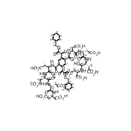 O=C(O)CC(NC(=O)c1cc(C(=O)C(=O)OCc2ccccc2)c(C(=O)NC(CC(=O)O)C(=O)N[C@H](CC(=O)O)C(=O)N[C@H](CC(=O)O)C(O)N[C@H](CC(=O)O)C(=O)O)cc1C(=O)C(=O)OCc1ccccc1)C(=O)N[C@H](CC(=O)O)C(=O)N[C@H](CC(=O)O)C(=O)N[C@H](CC(=O)O)C(=O)O